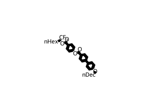 CCCCCCCCCCOc1ccc(-c2ccc(C(=O)Oc3ccc(C(=O)OC(CCCCCC)C(F)(F)F)cc3)cc2)cc1